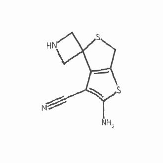 N#Cc1c(N)sc2c1C1(CNC1)SC2